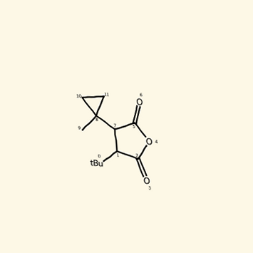 CC(C)(C)C1C(=O)OC(=O)C1C1(C)CC1